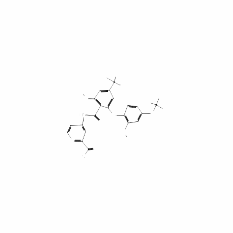 COc1cc(OC(F)(F)F)ccc1Oc1cc(C(F)(F)F)cc(OC)c1C(=O)Nc1ccnc(C(N)=O)c1